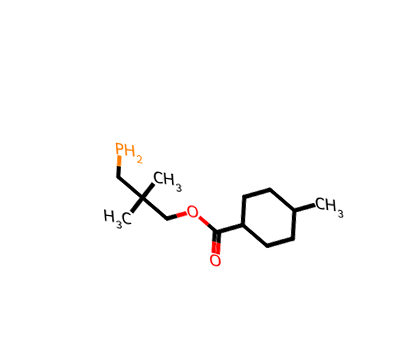 CC1CCC(C(=O)OCC(C)(C)CP)CC1